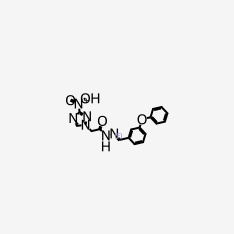 O=C(Cn1cnc([N+](=O)O)n1)N/N=C/c1cccc(Oc2ccccc2)c1